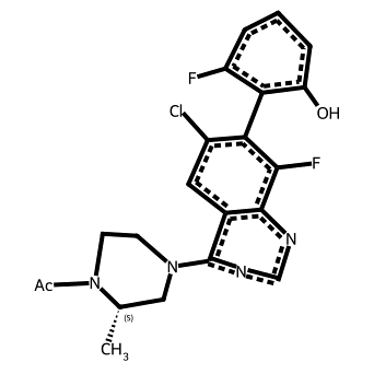 CC(=O)N1CCN(c2ncnc3c(F)c(-c4c(O)cccc4F)c(Cl)cc23)C[C@@H]1C